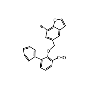 O=Cc1cccc(-c2ccccc2)c1OCc1cc(Br)c2occc2c1